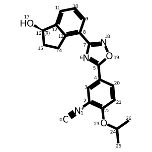 [C-]#[N+]c1cc(-c2nc(-c3cccc4c3CC[C@H]4O)no2)ccc1OC(C)C